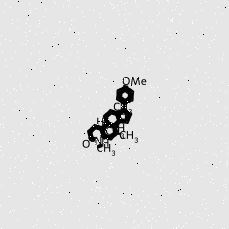 COc1ccc([C@H]2CC[C@H]3[C@@H]4[C@@H](C)C[C@H]5N(C)C(=O)CC[C@]5(C)[C@H]4CC[C@]23C)cc1